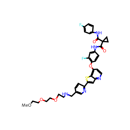 COCCOCCOCCNCc1ccc(-c2cc3nccc(Oc4ccc(NC(=O)C5(C(=O)Nc6ccc(F)cc6)CC5)cc4F)c3s2)nc1